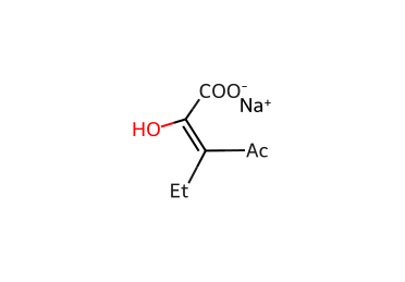 CCC(C(C)=O)=C(O)C(=O)[O-].[Na+]